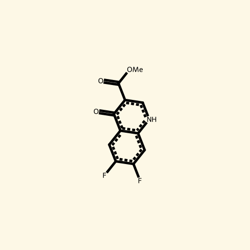 COC(=O)c1c[nH]c2cc(F)c(F)cc2c1=O